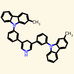 Cc1ccc2c3ccccc3n(-c3cccc(C4=CNC=C(c5cccc(-n6c7ccccc7c7ccc(C)cc76)c5)C4)c3)c2c1